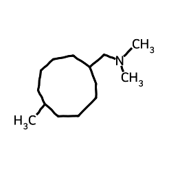 CC1CCCCC(CN(C)C)CCCC1